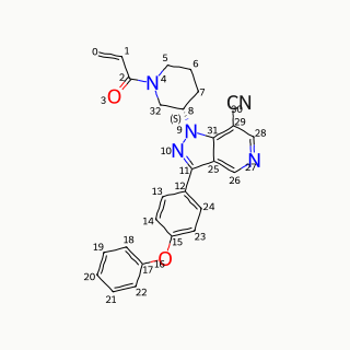 C=CC(=O)N1CCC[C@H](n2nc(-c3ccc(Oc4ccccc4)cc3)c3cncc(C#N)c32)C1